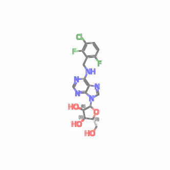 OC[C@H]1OC(n2cnc3c(NCc4c(F)ccc(Cl)c4F)ncnc32)[C@H](O)[C@@H]1O